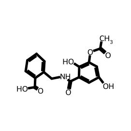 CC(=O)Oc1cc(O)cc(C(=O)NCc2ccccc2C(=O)O)c1O